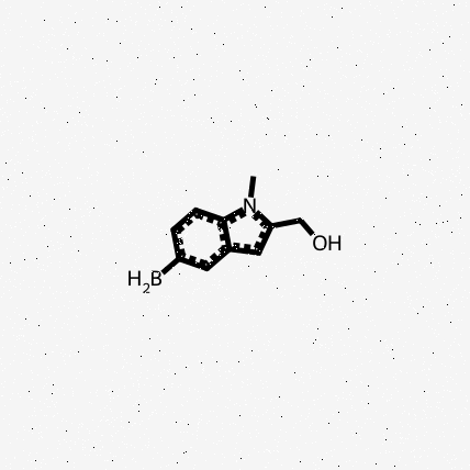 Bc1ccc2c(c1)cc(CO)n2C